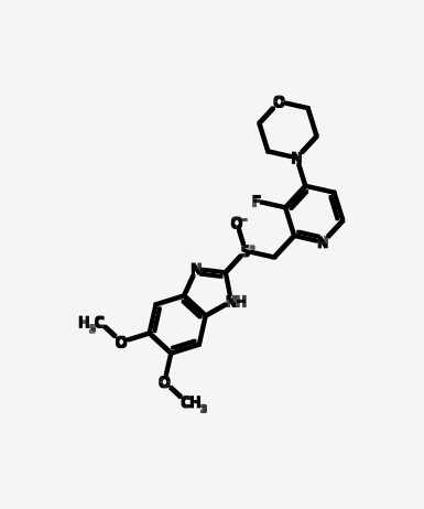 COc1cc2nc([S+]([O-])Cc3nccc(N4CCOCC4)c3F)[nH]c2cc1OC